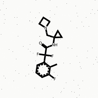 Cc1c(F)cccc1C(F)(F)C(=O)NC1(CN2CCC2)CC1